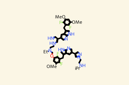 CCN(CCN/C=C(\C=N)c1cnc2[nH]cc(Cc3c(F)c(OC)cc(OC)c3F)c2c1)COc1cc(OC)c(F)c(Cc2c[nH]c3ncc(-c4cnn(CCNC(C)C)c4)cc23)c1F